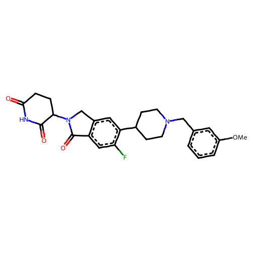 COc1cccc(CN2CCC(c3cc4c(cc3F)C(=O)N(C3CCC(=O)NC3=O)C4)CC2)c1